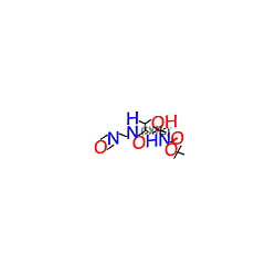 CC(C)[C@H](C[C@H](O)[C@H](C)NC(=O)OC(C)(C)C)C(=O)NCCN1CCOCC1